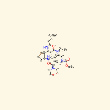 COCCCNC1C(C(=O)N(CC(C)C)[C@H]2C[C@@H](C(=O)N3CCOCC3)CN(C(=O)OC(C)(C)C)C2)CNC2CCSC21